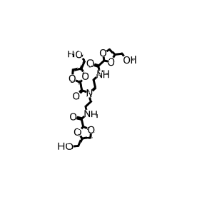 O=C(NCCN(CCNC(=O)C1OCC(CO)O1)C(=O)C1OCC(CO)O1)C1OCC(CO)O1